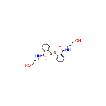 O=C(NCCCO)c1ccccc1SSc1ccccc1C(=O)NCCCO